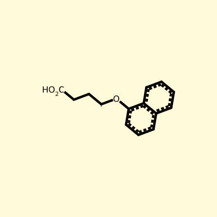 O=C(O)CC[CH]Oc1cccc2ccccc12